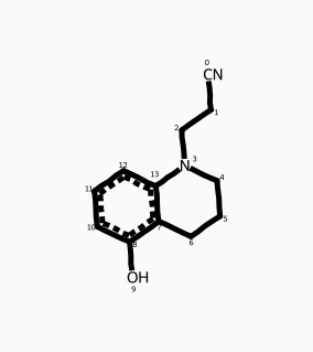 N#CCCN1CCCc2c(O)cccc21